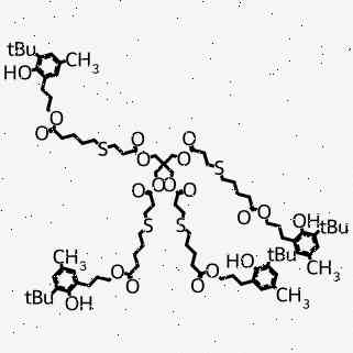 Cc1cc(CCCOC(=O)CCCCSCCC(=O)OCC(COC(=O)CCSCCCCC(=O)OCCCc2cc(C)cc(C(C)(C)C)c2O)(COC(=O)CCSCCCCC(=O)OCCCc2cc(C)cc(C(C)(C)C)c2O)COC(=O)CCSCCCCC(=O)OCCCc2cc(C)cc(C(C)(C)C)c2O)c(O)c(C(C)(C)C)c1